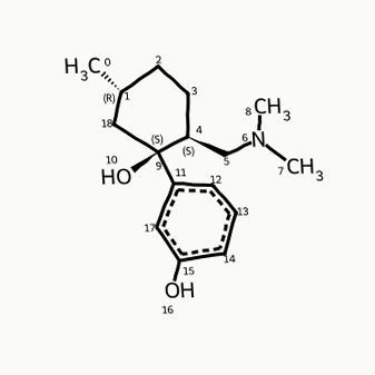 C[C@@H]1CC[C@@H](CN(C)C)[C@](O)(c2cccc(O)c2)C1